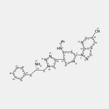 CC(C)Nc1cc(-n2ncc3cc(C#N)cnc32)ncc1-c1cn(C[C@@H](N)Cc2ccccc2)nn1